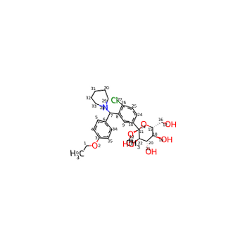 CCOc1ccc(C(c2cc([C@]3(OC)O[C@H](CO)[C@@H](O)[C@H](O)[C@H]3O)ccc2Cl)N2CCCCC2)cc1